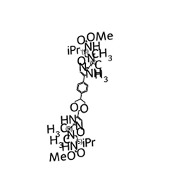 COC(=O)N[C@H](C(=O)N(C)[C@H](C)c1ncc(-c2ccc(C3COC(c4cnc([C@@H](C)N(C)C(=O)[C@@H](NC(=O)OC)C(C)C)[nH]4)OC3)cc2)[nH]1)C(C)C